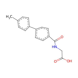 Cc1ccc(-c2ccc(C(=O)NCC(=O)O)cc2)cc1